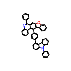 c1ccc(-c2nc3ccccc3c3c(-c4ccc(-c5cccc6c5c5ccccc5n6-c5ccccc5)cc4)c4c(cc23)oc2ccccc24)cc1